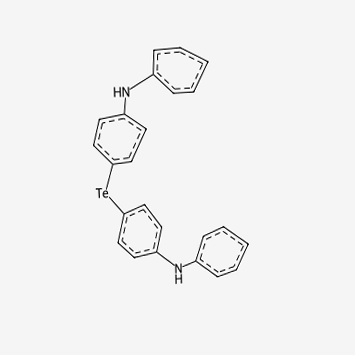 c1ccc(Nc2ccc([Te]c3ccc(Nc4ccccc4)cc3)cc2)cc1